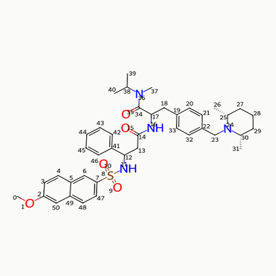 COc1ccc2cc(S(=O)(=O)NC(CC(=O)NC(Cc3ccc(CN4[C@H](C)CCC[C@@H]4C)cc3)C(=O)N(C)C(C)C)c3ccccc3)ccc2c1